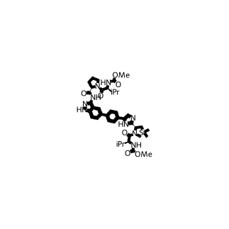 COC(=O)N[C@H](C(=O)N1CCC[C@H]1C(=O)Nc1n[nH]c2ccc(-c3ccc(-c4cnc([C@@H]5C[Si](C)(C)CN5C(=O)[C@@H](NC(=O)OC)C(C)C)[nH]4)cc3)cc12)C(C)C